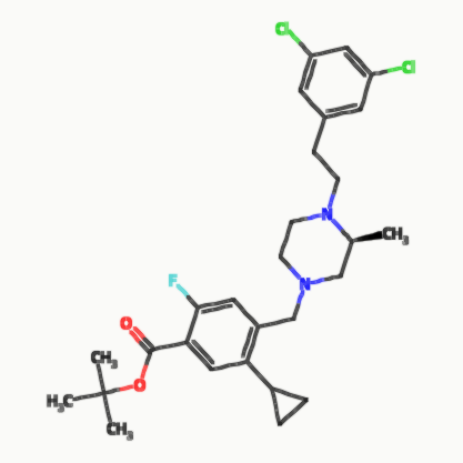 C[C@H]1CN(Cc2cc(F)c(C(=O)OC(C)(C)C)cc2C2CC2)CCN1CCc1cc(Cl)cc(Cl)c1